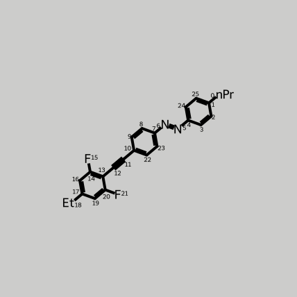 CCCc1ccc(N=Nc2ccc(C#Cc3c(F)cc(CC)cc3F)cc2)cc1